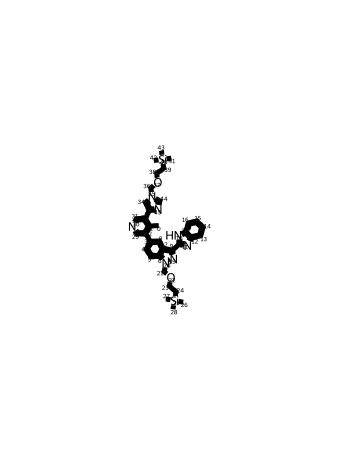 Cc1c(-c2ccc3c(c2)c(-c2nc4ccccc4[nH]2)nn3COCC[Si](C)(C)C)cncc1-c1cn(COCC[Si](C)(C)C)cn1